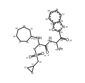 CCCC(NC(=O)C(CS(=O)(=O)CC1CC1)NC1CCCCCC1)C(=O)c1nc2ccccc2o1